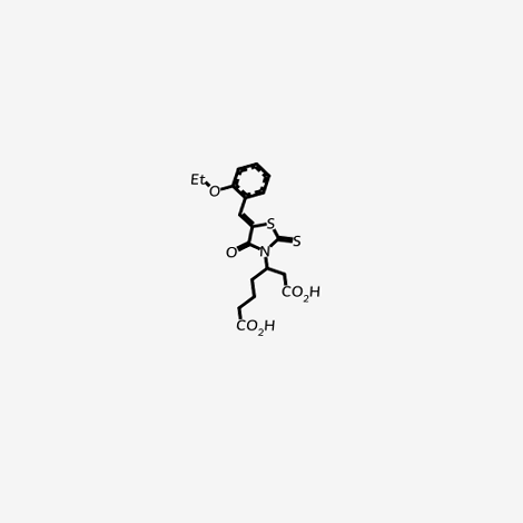 CCOc1ccccc1C=C1SC(=S)N(C(CCCC(=O)O)CC(=O)O)C1=O